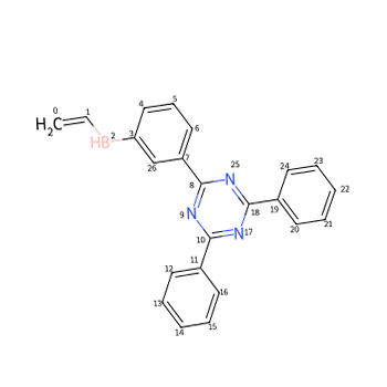 C=CBc1cccc(-c2nc(-c3ccccc3)nc(-c3ccccc3)n2)c1